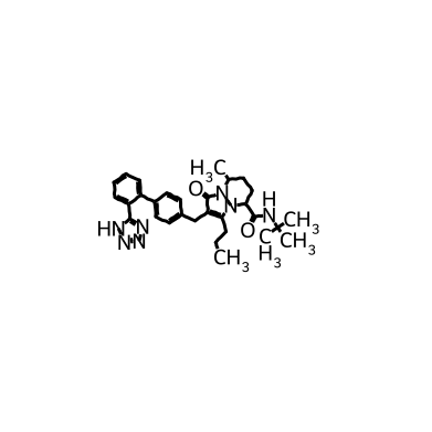 CCCc1c(Cc2ccc(-c3ccccc3-c3nnn[nH]3)cc2)c(=O)n2n1C(C(=O)NC(C)(C)C)CCC2C